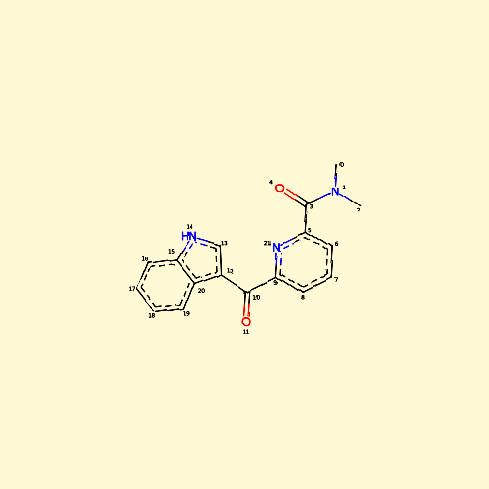 CN(C)C(=O)c1cccc(C(=O)c2c[nH]c3ccccc23)n1